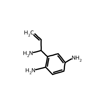 C=CC(N)c1cc(N)ccc1N